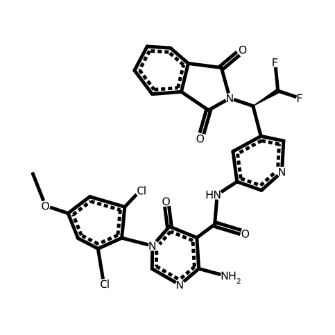 COc1cc(Cl)c(-n2cnc(N)c(C(=O)Nc3cncc([C@H](C(F)F)N4C(=O)c5ccccc5C4=O)c3)c2=O)c(Cl)c1